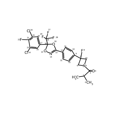 CC(C)C(=O)N1CC(F)(c2ccc(C3=NOC(c4cc(Cl)c(F)c(Cl)c4)(C(F)(F)F)O3)cc2)C1